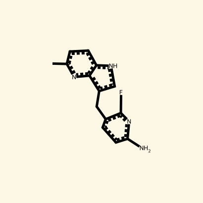 Cc1ccc2[nH]cc(Cc3ccc(N)nc3F)c2n1